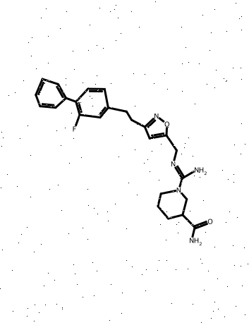 NC(=O)C1CCCN(C(N)=NCc2cc(CCc3ccc(-c4ccccc4)c(F)c3)no2)C1